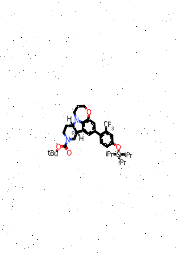 CC(C)[Si](Oc1ccc(-c2cc3c4c(c2)[C@@H]2CN(C(=O)OC(C)(C)C)CC[C@@H]2N4CCCO3)c(C(F)(F)F)c1)(C(C)C)C(C)C